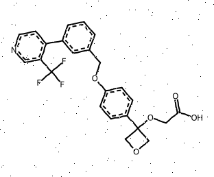 O=C(O)COC1(c2ccc(OCc3cccc(-c4ccncc4C(F)(F)F)c3)cc2)COC1